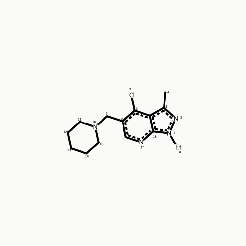 CCn1nc(C)c2c(Cl)c(CN3CCCCC3)cnc21